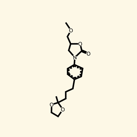 COCC1CN(c2ccc(CCCC3(C)OCCO3)cc2)C(=O)O1